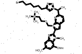 COc1cc(C(=O)O)cc2nc(-c3cc4ccc(C(C)n5cc(CCCCCCBr)nn5)nc4n3COCC[Si](C)(C)C)n(C)c12